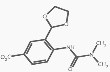 CN(C)C(=O)Nc1ccc(C(=O)O)cc1C1OCCO1